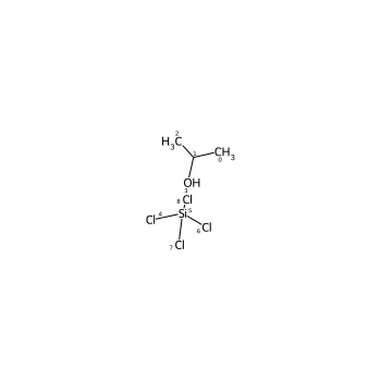 CC(C)O.Cl[Si](Cl)(Cl)Cl